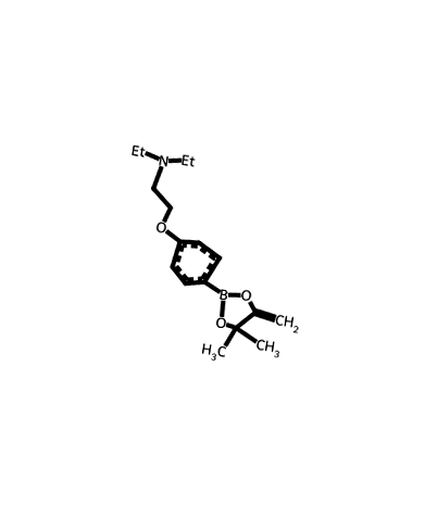 C=C1OB(c2ccc(OCCN(CC)CC)cc2)OC1(C)C